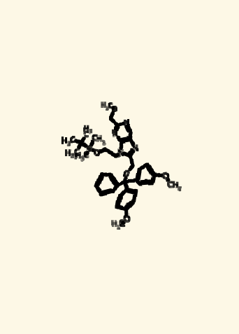 COCc1ncc2nc(COC(c3ccccc3)(c3ccc(OC)cc3)c3ccc(OC)cc3)n(CCO[Si](C)(C)C(C)(C)C)c2n1